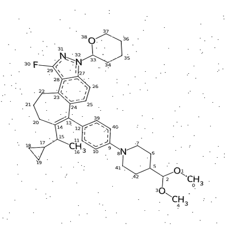 COC(OC)C1CCN(c2ccc(C3=C(C(C)C4CC4)CCCc4c3ccc3c4c(F)nn3C3CCCCO3)cc2)CC1